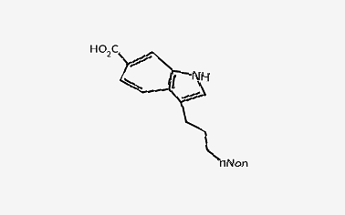 CCCCCCCCCCCCc1c[nH]c2cc(C(=O)O)ccc12